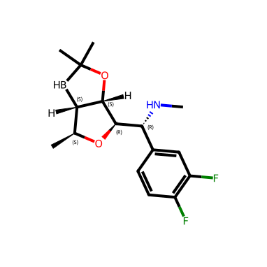 CN[C@H](c1ccc(F)c(F)c1)[C@H]1O[C@@H](C)[C@@H]2BC(C)(C)O[C@@H]21